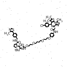 Cc1ncsc1-c1ccc(CNC(=O)[C@@H]2CCCN2C(=O)[C@@H](NC(=O)COCCCOCCCCOCCCOc2ccc(NC(=O)C[C@@H]3N=C(c4ccc(Cl)cc4)c4c(sc(C)c4C)-n4c(C)nnc43)cc2)C(C)(C)C)cc1